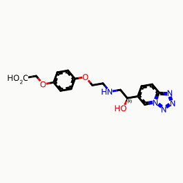 O=C(O)COc1ccc(OCCNC[C@H](O)c2ccc3nnnn3c2)cc1